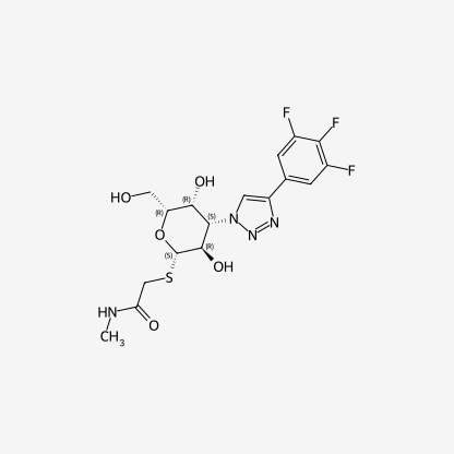 CNC(=O)CS[C@@H]1O[C@H](CO)[C@H](O)[C@H](n2cc(-c3cc(F)c(F)c(F)c3)nn2)[C@H]1O